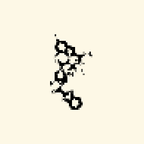 CC(C)(C)[C@@H](C(=O)N1C[C@@H]2C[C@H]1CN2C(=O)c1nc2ccccc2[nH]1)n1c(C(N)=O)cc2cc(F)cc(F)c21